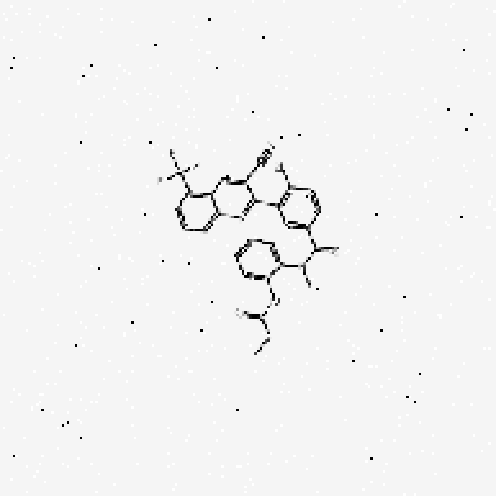 CCC(=O)Oc1ccccc1N(C)C(=O)c1ccc(Cl)c(-c2nc3cccc(C(F)(F)F)c3cc2C#N)c1